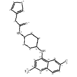 O=C(Cc1ccsc1)NC1CCC(Nc2cc(C(F)(F)F)nc3ccc(Cl)cc23)CC1